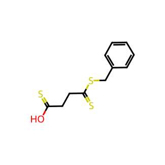 OC(=S)CCC(=S)SCc1ccccc1